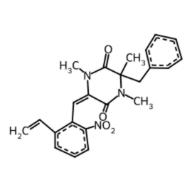 C=Cc1cccc([N+](=O)[O-])c1C=C1C(=O)N(C)C(C)(Cc2ccccc2)C(=O)N1C